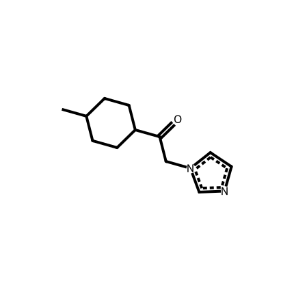 CC1CCC(C(=O)Cn2ccnc2)CC1